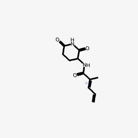 C=C/C=C(\C)C(=O)NC1CCC(=O)NC1=O